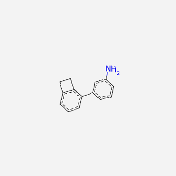 Nc1cccc(-c2cccc3c2CC3)c1